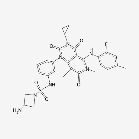 Cc1ccc(Nc2c3c(=O)n(C4CC4)c(=O)n(-c4cccc(NS(=O)(=O)N5CC(N)C5)c4)c3c(C)c(=O)n2C)c(F)c1